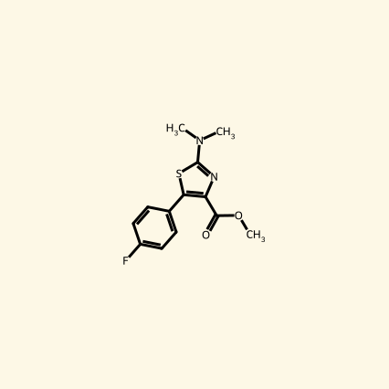 COC(=O)c1nc(N(C)C)sc1-c1ccc(F)cc1